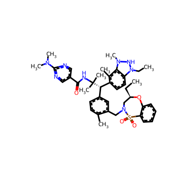 CC[C@@H]1CN(Cc2cc([C@@H](c3ccc4c(c3C)N(C)NN4CC)C(C)(C)NC(=O)c3cnc(N(C)C)nc3)ccc2C)S(=O)(=O)c2ccccc2O1